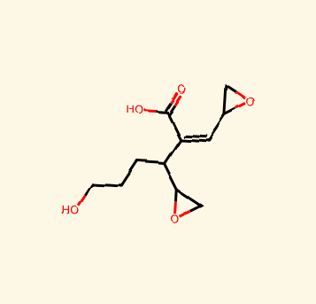 O=C(O)C(=CC1CO1)C(CCCO)C1CO1